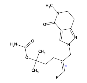 CN1CCc2nn(C/C(=C/F)CCC(C)(C)OC(N)=O)cc2C1=O